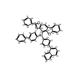 c1ccc(-c2ccc(N(c3ccc(-c4cccc5ccccc45)cc3)c3c4nc(-c5ccccc5)oc4cc4c3oc3ccccc34)cc2)cc1